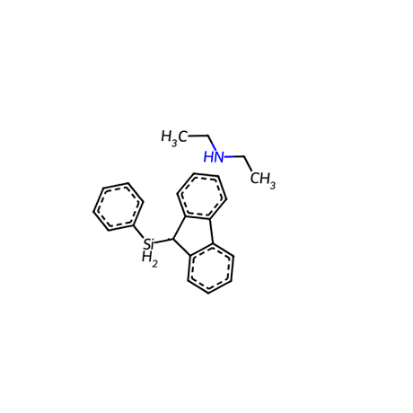 CCNCC.c1ccc([SiH2][C]2c3ccccc3-c3ccccc32)cc1